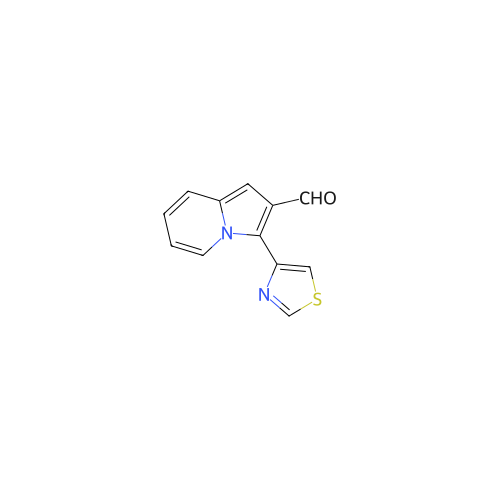 O=Cc1cc2ccccn2c1-c1cscn1